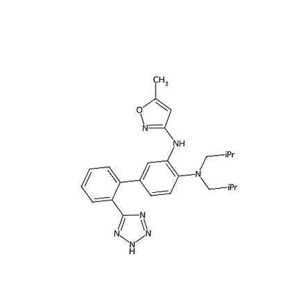 Cc1cc(Nc2cc(-c3ccccc3-c3nn[nH]n3)ccc2N(CC(C)C)CC(C)C)no1